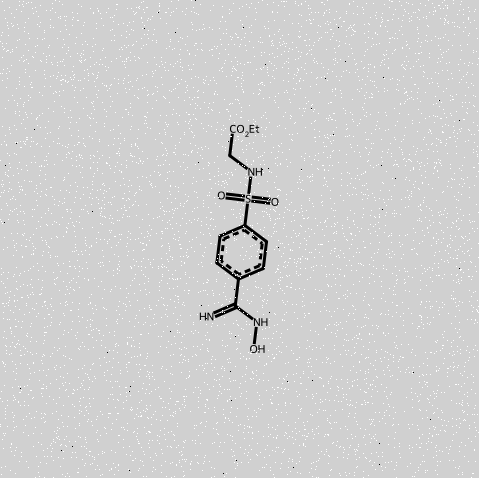 CCOC(=O)CNS(=O)(=O)c1ccc(C(=N)NO)cc1